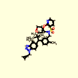 Cc1ccc(C(c2ccc3c(nnn3CC3CC3)c2C)C(C)(C)C(=O)O)cc1CN1CC2(CCOCC2)Oc2ncccc2S1(=O)=O